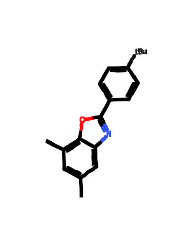 Cc1cc(C)c2oc(-c3ccc(C(C)(C)C)cc3)nc2c1